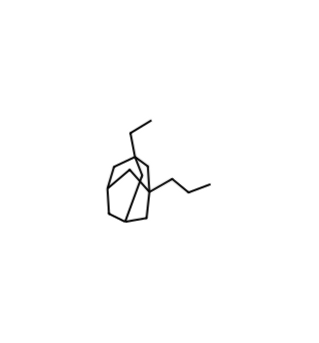 CCCC12CC3CC(CC(CC)(C3)C1)C2